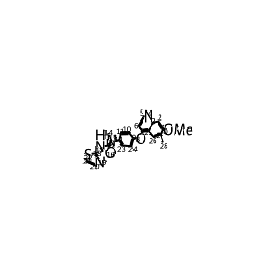 COc1cc2nccc(Oc3ccc(N(C)C(=O)Nc4nccs4)cc3)c2cc1C